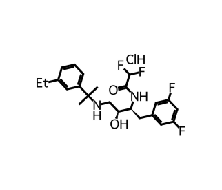 CCc1cccc(C(C)(C)NC[C@H](O)[C@H](Cc2cc(F)cc(F)c2)NC(=O)C(F)F)c1.Cl